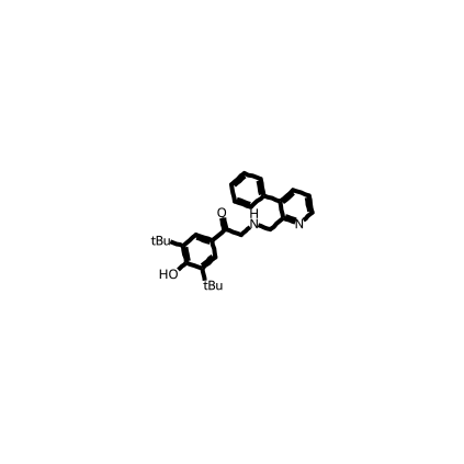 CC(C)(C)c1cc(C(=O)CNCc2ncccc2-c2ccccc2)cc(C(C)(C)C)c1O